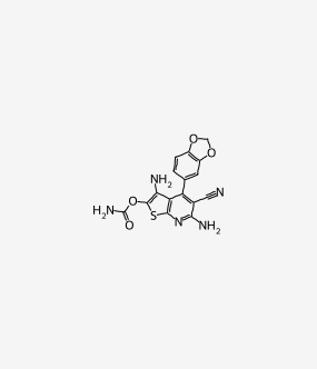 N#Cc1c(N)nc2sc(OC(N)=O)c(N)c2c1-c1ccc2c(c1)OCO2